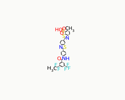 Cc1ccc2nc(-c3ccc4nc(-c5ccc(NC(=O)c6cc(C(C)(F)F)cc(C(F)(F)F)c6)cc5)sc4c3)sc2c1S(=O)(=O)O